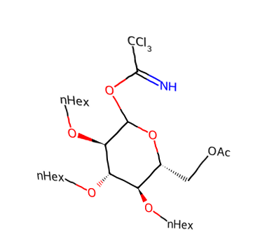 CCCCCCO[C@H]1[C@H](OCCCCCC)[C@@H](OCCCCCC)C(OC(=N)C(Cl)(Cl)Cl)O[C@@H]1COC(C)=O